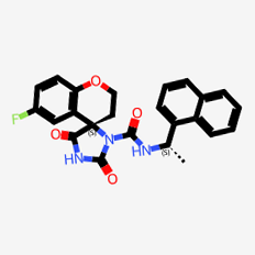 C[C@H](NC(=O)N1C(=O)NC(=O)[C@@]12CCOc1ccc(F)cc12)c1cccc2ccccc12